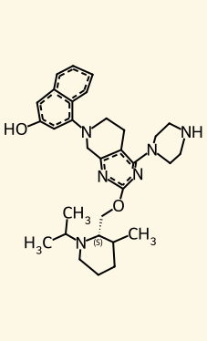 CC1CCCN(C(C)C)[C@@H]1COc1nc2c(c(N3CCNCC3)n1)CCN(c1cc(O)cc3ccccc13)C2